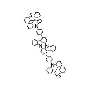 c1ccc2c(c1)Sc1ccccc1C21c2ccccc2N(c2ccc(-c3ccc4c5c3c3ccccc3n5c3ccc(-c5ccc(N6c7ccccc7C7(c8ccccc8Sc8ccccc87)c7ccccc76)cc5)c5c6ccccc6n4c53)cc2)c2ccccc21